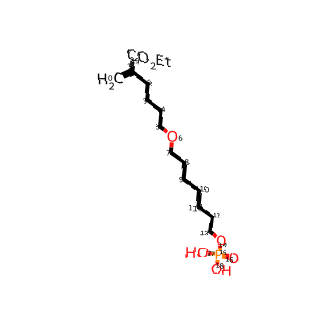 C=C(CCCCOCCCCCCCOP(=O)(O)O)C(=O)OCC